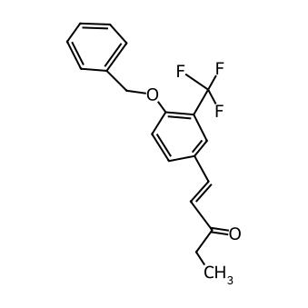 CCC(=O)C=Cc1ccc(OCc2ccccc2)c(C(F)(F)F)c1